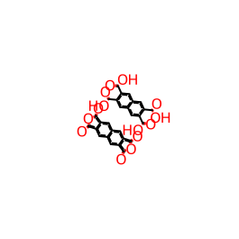 O=C(O)c1cc2cc(C(=O)O)c(C(=O)O)cc2cc1C(=O)O.O=c1oc(=O)c2cc3cc4c(=O)oc(=O)c4cc3cc12